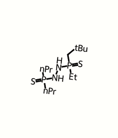 CCCP(=S)(CCC)NNP(=S)(CC)CC(C)(C)C